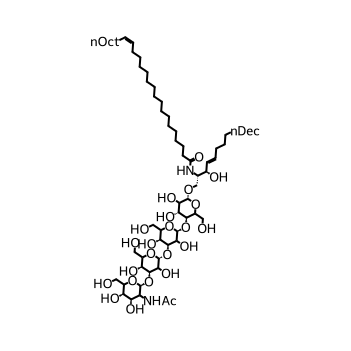 CCCCCCCC/C=C\CCCCCCCCCCCCCCCC(=O)N[C@@H](CO[C@@H]1OC(CO)[C@@H](O[C@@H]2OC(CO)[C@H](O)[C@H](O[C@H]3OC(CO)[C@H](O)[C@H](O[C@@H]4OC(CO)[C@H](O)[C@H](O)C4NC(C)=O)C3O)C2O)[C@H](O)C1O)[C@H](O)/C=C/CCCCCCCCCCCCC